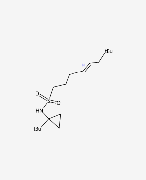 CC(C)(C)C/C=C/CCCS(=O)(=O)NC1(C(C)(C)C)CC1